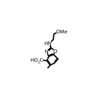 COCCNc1nc2c(C(=O)O)c(C)ccc2o1